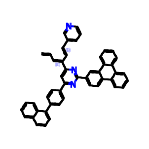 C=C/C=C(\C=C\c1cccnc1)c1cc(-c2ccc(-c3cccc4ccccc34)cc2)nc(-c2ccc3c4ccccc4c4ccccc4c3c2)n1